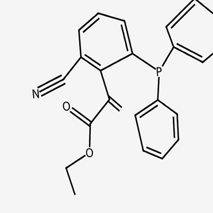 C=C(C(=O)OCC)c1c(C#N)cccc1P(c1ccccc1)c1ccccc1